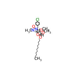 CCCCCCCCCCCCO[C@H]1O[C@H]([C@@H]2CN(C)C(=O)N2Cc2ccc(Cl)cc2)[C@@H]2OC(C)(C)O[C@H]12